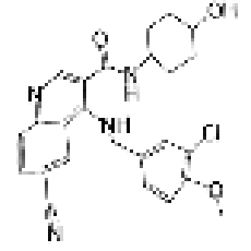 COc1ccc(CNc2c(C(=O)NC3CCC(O)CC3)cnc3ccc(C#N)cc23)cc1Cl